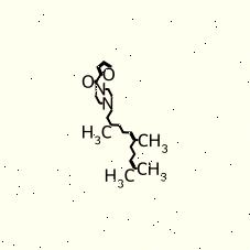 CC(C)=CCCC(C)=CCCC(C)CCN1CCN(C(=O)c2ccco2)CC1